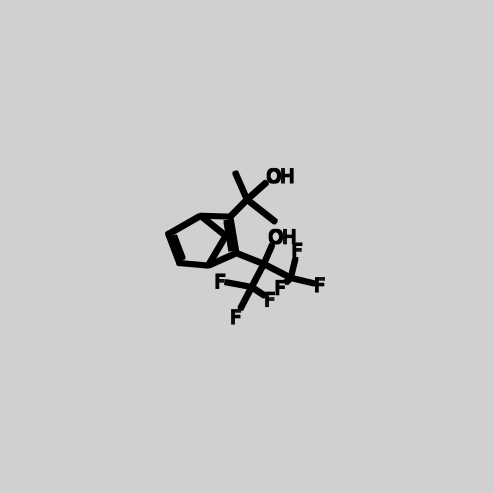 CC(C)(O)C1=C(C(O)(C(F)(F)F)C(F)(F)F)C2C=CC1C2